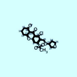 CS(=O)(=O)c1ccc(C(=O)C2C(=O)CCCC2=O)c(Cl)c1COC1CCOC1